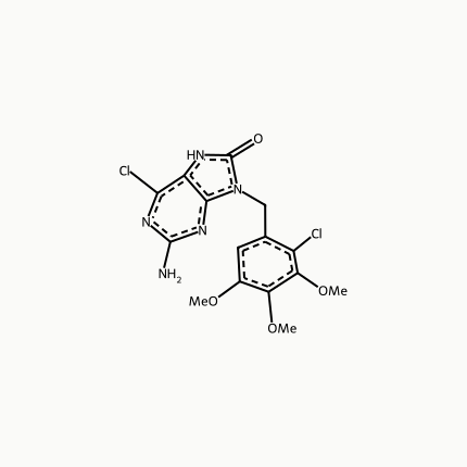 COc1cc(Cn2c(=O)[nH]c3c(Cl)nc(N)nc32)c(Cl)c(OC)c1OC